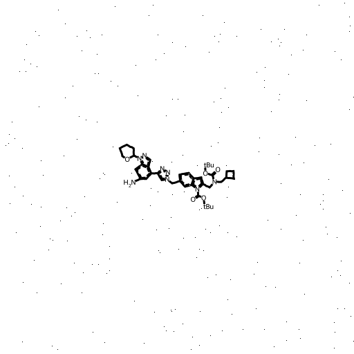 CC(C)(C)OC(=O)N(Cc1cc2ccc(Cn3cc(-c4cc(N)cc5c4cnn5C4CCCCO4)nn3)cc2n1C(=O)OC(C)(C)C)CC1CCC1